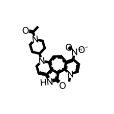 CC(=O)N1CCC(N2CC=c3[nH]c(=O)c4c5c(ccc2c3-4)=C([N+](=O)[O-])C=CN5C)CC1